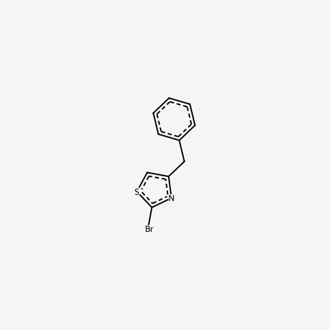 Brc1nc(Cc2ccccc2)cs1